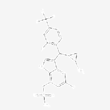 CC1CC1C(c1ccc(C(F)(F)F)cc1F)c1c[nH]c2c(CS(C)(=O)=O)cc(F)cc12